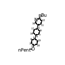 CCCCCOc1ccc(-c2ccc(-c3ccc(CCCC)nc3)cc2)cc1